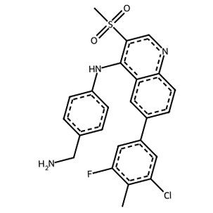 Cc1c(F)cc(-c2ccc3ncc(S(C)(=O)=O)c(Nc4ccc(CN)cc4)c3c2)cc1Cl